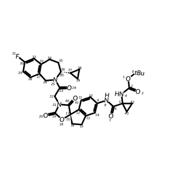 CC(C)(C)OC(=O)NC1(C(=O)Nc2ccc3c(c2)CC[C@]32OC(=O)N(CC(=O)N3Cc4ccc(F)cc4CC[C@@H]3C3CC3)C2=O)CC1